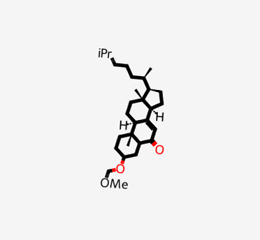 COCOC1CC[C@@]2(C)C(C1)C(=O)C=C1[C@@H]3CC[C@H]([C@H](C)CCCC(C)C)[C@@]3(C)CC[C@@H]12